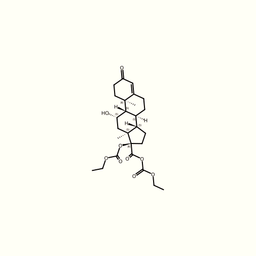 CCOC(=O)OC(=O)[C@@]1(OC(=O)OCC)CC[C@H]2[C@@H]3CCC4=CC(=O)CC[C@]4(C)[C@H]3[C@@H](O)C[C@@]21C